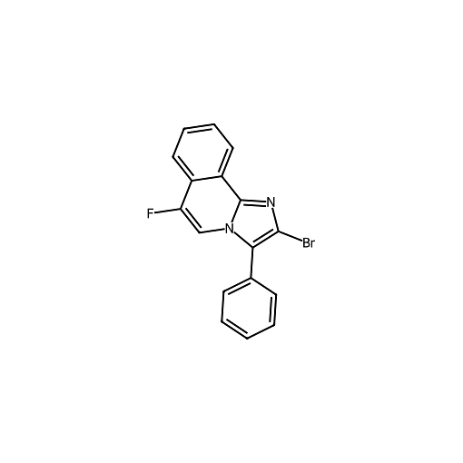 Fc1cn2c(-c3ccccc3)c(Br)nc2c2ccccc12